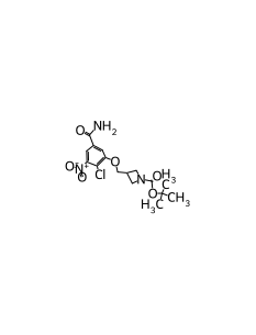 CC(C)(C)OC(=O)N1CC(COc2cc(C(N)=O)cc([N+](=O)[O-])c2Cl)C1